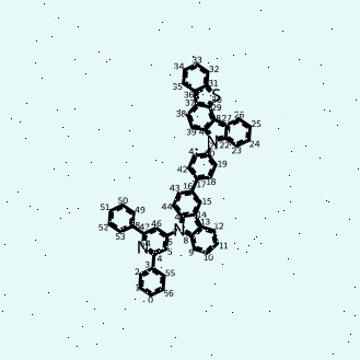 c1ccc(-c2cc(-n3c4ccccc4c4cc(-c5ccc(-n6c7ccccc7c7c8sc9ccccc9c8ccc76)cc5)ccc43)cc(-c3ccccc3)n2)cc1